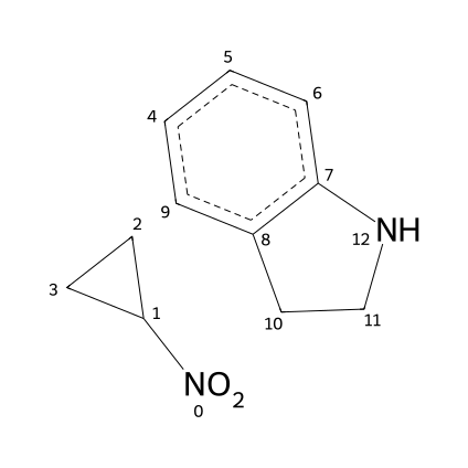 O=[N+]([O-])C1CC1.c1ccc2c(c1)CCN2